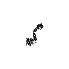 Cn1nc(N2C(=O)CCCC2=O)c2ccc(N3CCN(CC4CC5(CCN(c6ncc(Cl)c(Nc7ccc8c(c7)c7c(c(=O)n8C)OCC(F)(F)[C@H](C8CC8)N7)n6)CC5)C4)CC3)cc21